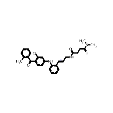 Cc1ccccc1C(=O)c1ccc(Nc2ccccc2/C=C/CNC(=O)CCC(=O)N(C)C)cc1Cl